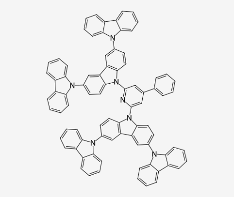 c1ccc(-c2cc(-n3c4ccc(-n5c6ccccc6c6ccccc65)cc4c4cc(-n5c6ccccc6c6ccccc65)ccc43)nc(-n3c4ccc(-n5c6ccccc6c6ccccc65)cc4c4cc(-n5c6ccccc6c6ccccc65)ccc43)c2)cc1